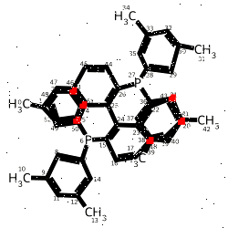 Cc1cc#cc(P(c2cc(C)cc(C)c2)c2ccc3ccccc3c2-c2c(P(c3cc(C)cc(C)c3)c3cc(C)cc(C)c3)ccc3ccccc23)c1